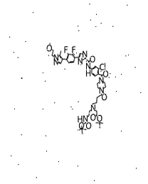 COCCn1ncc(-c2ccc(-c3cnc(C(=O)Nc4ccc(C(=O)N5CCN(C(=O)CCCN(CCNC(=O)OC(C)(C)C)CC(=O)OC(C)(C)C)CC5)c(Cl)c4)n3C)c(F)c2F)c1C